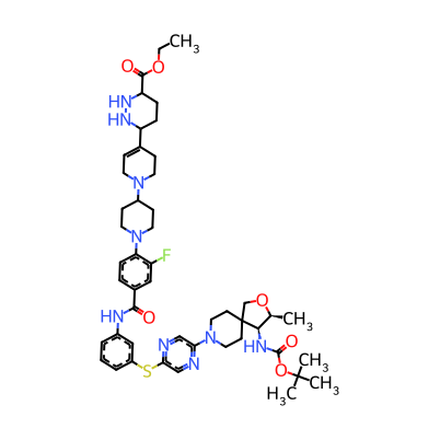 CCOC(=O)C1CCC(C2=CCN(C3CCN(c4ccc(C(=O)Nc5cccc(Sc6cnc(N7CCC8(CC7)CO[C@@H](C)[C@H]8NC(=O)OC(C)(C)C)cn6)c5)cc4F)CC3)CC2)NN1